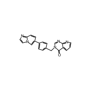 O=c1c2cccnc2ncn1Cc1ccc(-c2ccc3nccn3c2)cc1